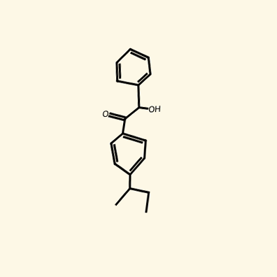 CCC(C)c1ccc(C(=O)C(O)c2ccccc2)cc1